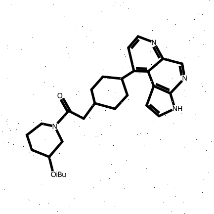 CC(C)COC1CCCN(C(=O)CC2CCC(c3ccnc4cnc5[nH]ccc5c34)CC2)C1